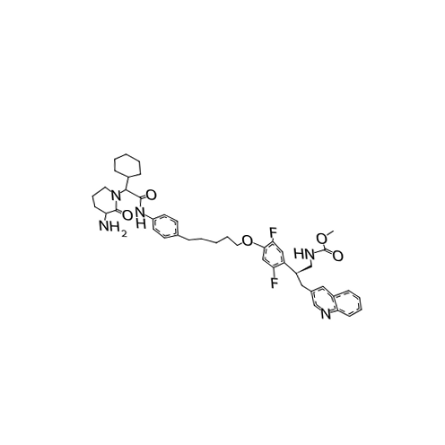 COC(=O)NC[C@@H](Cc1cnc2ccccc2c1)c1cc(F)c(OCCCCCc2ccc(NC(=O)C(C3CCCCC3)N3CCCC(N)C3=O)cc2)cc1F